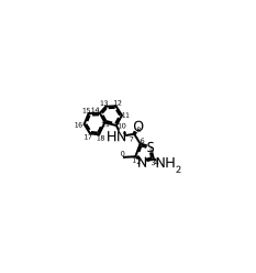 Cc1nc(N)sc1C(=O)Nc1cccc2ccccc12